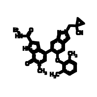 CCNC(=O)c1cc2c(-c3cc4nn(CC5(C#N)CC5)cc4cc3Oc3c(C)cccc3C)cn(C)c(=O)c2[nH]1